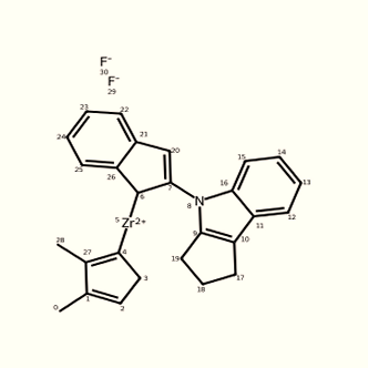 CC1=CC[C]([Zr+2][CH]2C(n3c4c(c5ccccc53)CCC4)=Cc3ccccc32)=C1C.[F-].[F-]